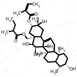 B[C@@H]1C2CC[C@]3(B)C(CC=C4C5C[C@@](B)(S)[C@@H](OC(=O)/C(C)=C\C)C[C@]5(COC(=O)C(C)CC)[C@H](O)[C@H](O)[C@]43B)[C@@]2(B)CC[C@@H]1O